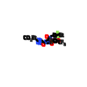 CCOC(=O)Cc1nnn(CC(=O)N2CCN(S(=O)(=O)c3ccc(OC(F)(F)F)cc3)C(C(=O)NCc3ccc(C(F)(F)CC)cc3)C2)n1